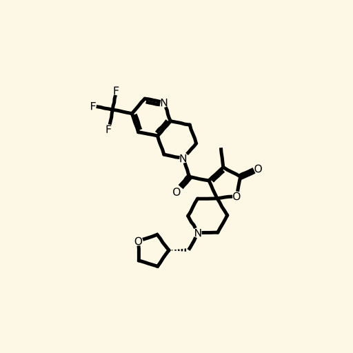 CC1=C(C(=O)N2CCc3ncc(C(F)(F)F)cc3C2)C2(CCN(C[C@@H]3CCOC3)CC2)OC1=O